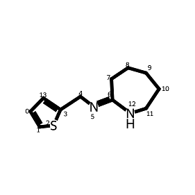 c1csc(CN=C2CCCCCN2)c1